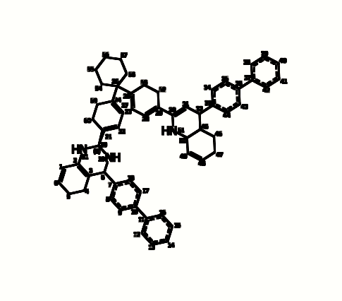 C1=CC2=C(CC1)C(c1ccc(-c3ccccc3)cc1)N[C@H](C1=CC=C(C3(C4=CC=C(C5=CC(c6ccc(-c7ccccc7)cc6)C6CCC=CC6N5)CC4)CCCCC3)CC1)N2